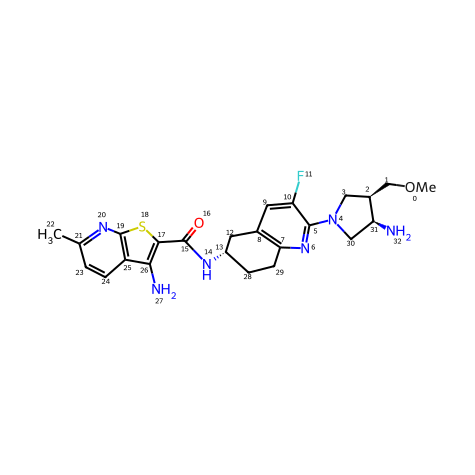 COC[C@@H]1CN(c2nc3c(cc2F)C[C@@H](NC(=O)c2sc4nc(C)ccc4c2N)CC3)C[C@@H]1N